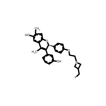 CC1=C(c2cccc(O)c2)[C@H](c2ccc(OCCN3CC(CF)C3)cc2)Oc2cc(C)c(O)cc21